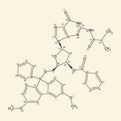 COc1ccc(C(OC[C@H]2O[C@@H](n3cnc4c(=O)[nH]c(NC(=O)C(C)C)nc43)C[C@H]2OC(=O)c2ccccc2)(c2ccccc2)c2ccc(OC)cc2)cc1